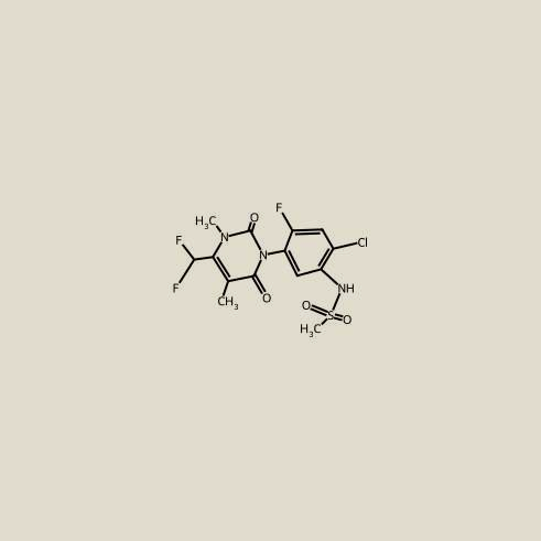 Cc1c(C(F)F)n(C)c(=O)n(-c2cc(NS(C)(=O)=O)c(Cl)cc2F)c1=O